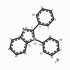 [Ir].c1ccc(-c2nc3ccccc3n2-c2ccccc2)cc1